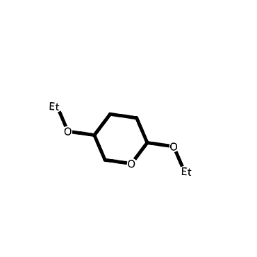 CCOC1CCC(OCC)OC1